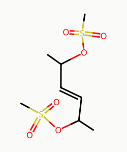 CC(C=CC(C)OS(C)(=O)=O)OS(C)(=O)=O